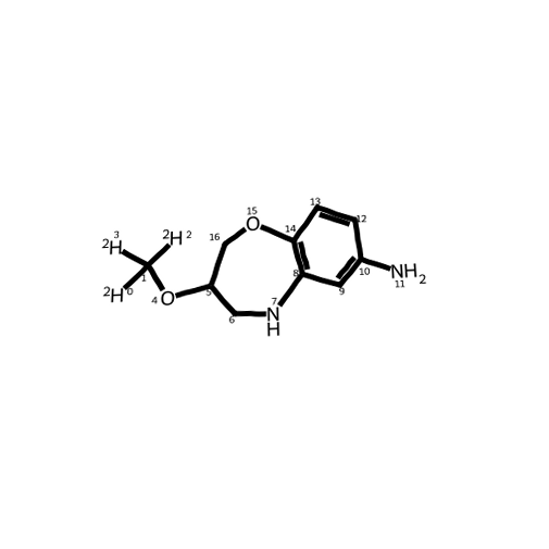 [2H]C([2H])([2H])OC1CNc2cc(N)ccc2OC1